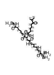 BNC(=O)CCCCNC(=O)[C@H](CC(=O)NCCCCNC(=O)N(B)B)NC(=O)CCCCC(=O)C(C)C